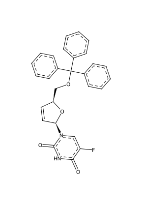 O=c1[nH]c(=O)n([C@H]2C=C[C@@H](COC(c3ccccc3)(c3ccccc3)c3ccccc3)O2)cc1F